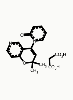 CC1(C)C=C(n2ccccc2=O)c2cnccc2O1.O=C(O)CC(=O)O